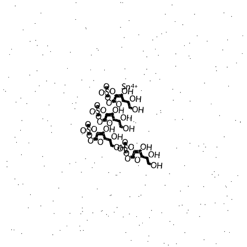 O=C1O[C@H]([C@@H](O)CO)C(O)=C1OS(=O)(=O)[O-].O=C1O[C@H]([C@@H](O)CO)C(O)=C1OS(=O)(=O)[O-].O=C1O[C@H]([C@@H](O)CO)C(O)=C1OS(=O)(=O)[O-].O=C1O[C@H]([C@@H](O)CO)C(O)=C1OS(=O)(=O)[O-].[Sn+4]